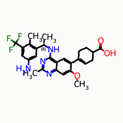 COc1cc2nc(C)nc(N[C@H](C)c3cc(N)cc(C(F)(F)F)c3C)c2cc1C1=CCC(C(=O)O)CC1